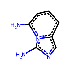 Nc1cccc2cnc(N)n12